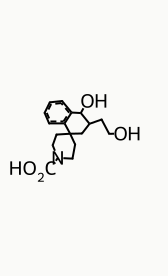 O=C(O)N1CCC2(CC1)CC(CCO)C(O)c1ccccc12